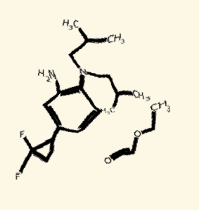 CC(C)CN(CC(C)C)c1ccc(C2CC2(F)F)cc1N.CCOC=O